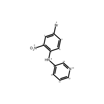 O=[N+]([O-])c1cc(Br)ccc1Nc1cccnc1